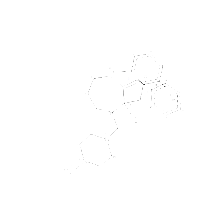 CN1CCN(CC2CCCC/C(=C/c3ccccc3)C2(O)Cc2c(F)cccc2F)CC1